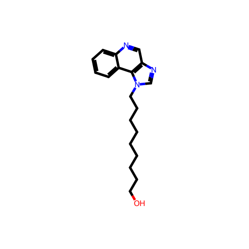 OCCCCCCCCCn1cnc2cnc3ccccc3c21